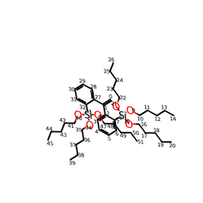 C=C(c1ccccc1[Si](OCCCCC)(OCCCCC)OCCCCC)c1ccccc1[Si](OCCCCC)(OCCCCC)OCCCCC